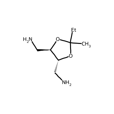 CCC1(C)O[C@H](CN)[C@@H](CN)O1